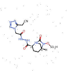 N#CCc1nnnn1CC(=O)NNC(=O)[C@@H]1CC[C@@H]2CN1C(=O)N2OS(=O)(=O)O